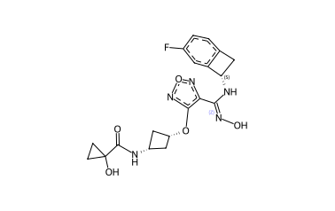 O=C(N[C@H]1C[C@@H](Oc2nonc2/C(=N/O)N[C@H]2Cc3ccc(F)cc32)C1)C1(O)CC1